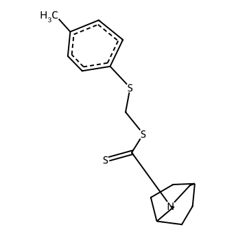 Cc1ccc(SCSC(=S)N2CC3CCC(CC3)C2)cc1